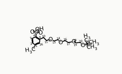 Cc1ccc(S(=O)(=O)O)c(CCOCCOCCOCCOC(C)(C)C)c1